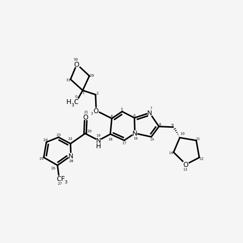 CC1(COc2cc3nc(C[C@@H]4CCOC4)cn3cc2NC(=O)c2cccc(C(F)(F)F)n2)COC1